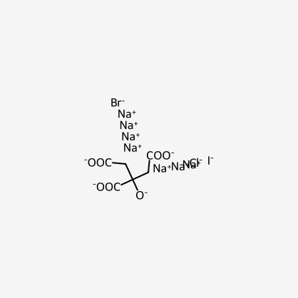 O=C([O-])CC([O-])(CC(=O)[O-])C(=O)[O-].[Br-].[Cl-].[I-].[Na+].[Na+].[Na+].[Na+].[Na+].[Na+].[Na+]